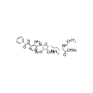 COC(=O)[C@H](CC[C@H](N)C[C@H]1O[C@@H](n2cnc3c(NC(=O)c4ccccc4)ncnc32)C(OC(C)=O)C1OC(C)=O)N=COC(F)(F)F